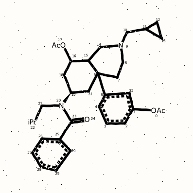 CC(=O)Oc1cccc(C23CCN(CC4CC4)CC2C(OC(C)=O)C[C@H](N(CC(C)C)C(=O)c2ccccc2)C3)c1